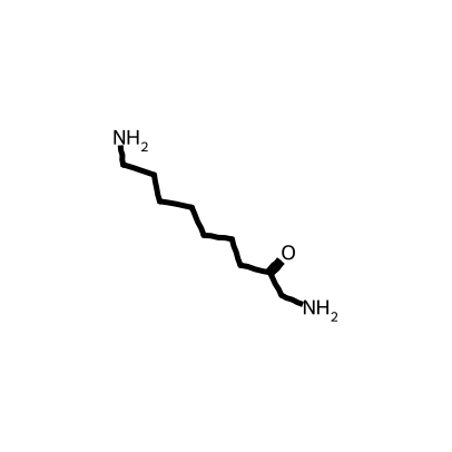 NCCCCCCCC(=O)CN